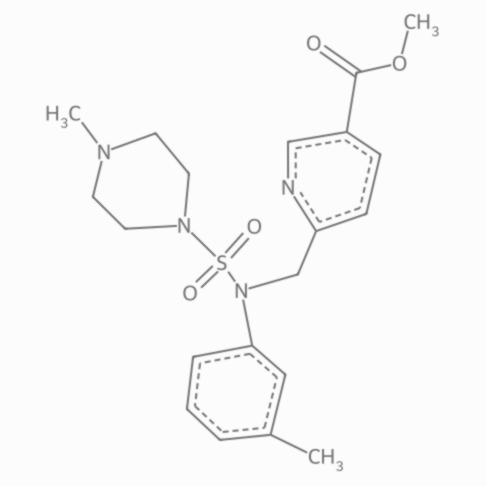 COC(=O)c1ccc(CN(c2cccc(C)c2)S(=O)(=O)N2CCN(C)CC2)nc1